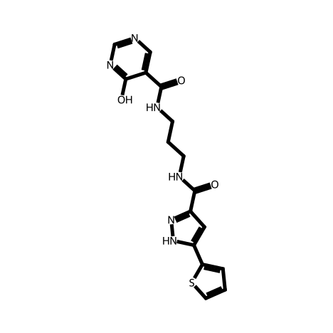 O=C(NCCCNC(=O)c1cncnc1O)c1cc(-c2cccs2)[nH]n1